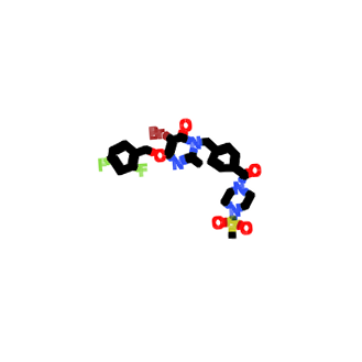 Cc1nc(OCc2ccc(F)cc2F)c(Br)c(=O)n1Cc1ccc(C(=O)N2CCN(S(C)(=O)=O)CC2)cc1